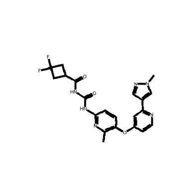 Cc1nc(NC(=O)NC(=O)C2CC(F)(F)C2)ccc1Oc1ccnc(-c2cnn(C)c2)c1